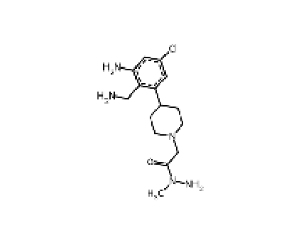 CN(N)C(=O)CN1CCC(c2cc(Cl)cc(N)c2CN)CC1